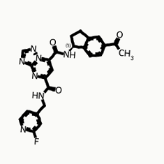 CC(=O)c1ccc2c(c1)CC[C@@H]2NC(=O)c1cc(C(=O)NCc2ccnc(F)c2)nc2ncnn12